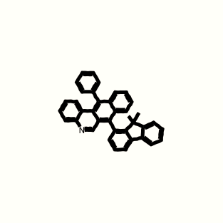 CC1(C)c2ccccc2-c2cccc(-c3c4ccccc4c(-c4ccccc4)c4c3cnc3ccccc34)c21